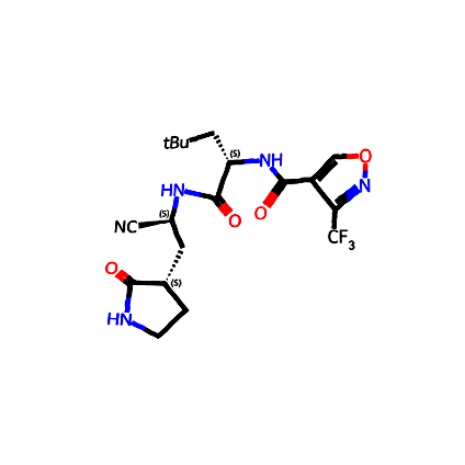 CC(C)(C)C[C@H](NC(=O)c1conc1C(F)(F)F)C(=O)N[C@H](C#N)C[C@@H]1CCNC1=O